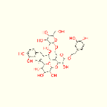 CC1OC(OC2C(O)C(OCCc3ccc(O)c(O)c3)OC(COC3OC(CO)C(O)C(O)C3O)C2CC(=O)CCc2ccc(O)c(O)c2)C(O)C(O)C1O